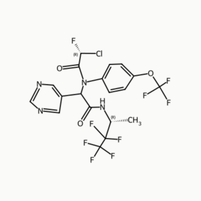 C[C@@H](NC(=O)C(c1cncnc1)N(C(=O)[C@H](F)Cl)c1ccc(OC(F)(F)F)cc1)C(F)(F)C(F)(F)F